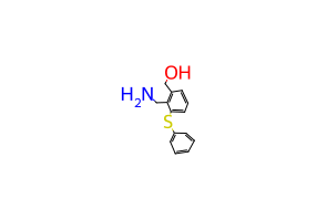 NCc1c(CO)cccc1Sc1ccccc1